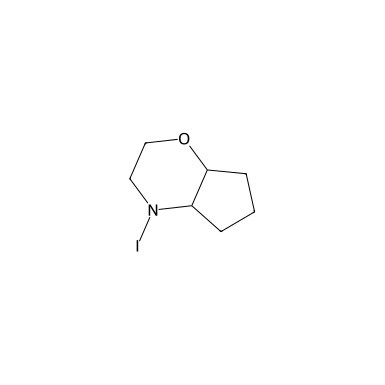 IN1CCOC2CCCC21